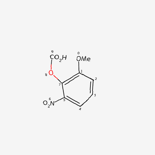 COc1cccc([N+](=O)[O-])c1OC(=O)O